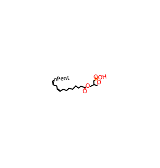 CCCCC/C=C\C/C=C\CCCCCCCC(=O)OCC1COP(=O)(O)C1